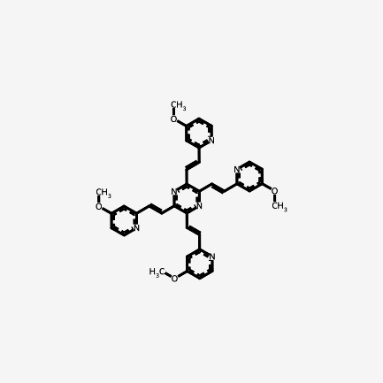 COc1ccnc(C=Cc2nc(C=Cc3cc(OC)ccn3)c(C=Cc3cc(OC)ccn3)nc2C=Cc2cc(OC)ccn2)c1